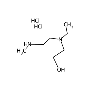 CCN(CCO)CCNC.Cl.Cl